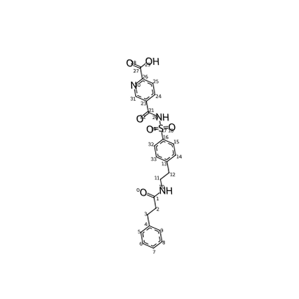 O=C(CCc1ccccc1)NCCc1ccc(S(=O)(=O)NC(=O)c2ccc(C(=O)O)nc2)cc1